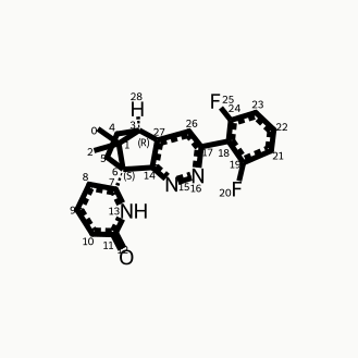 CC1(C)[C@H]2CC[C@]1(c1cccc(=O)[nH]1)c1nnc(-c3c(F)cccc3F)cc12